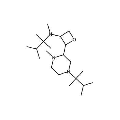 CC(C)C(C)(C)N1CCN(C)C(C2OCC2N(C)C(C)(C)C(C)C)C1